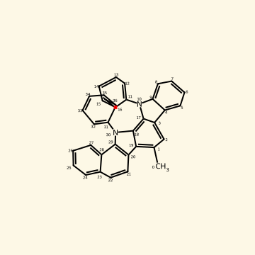 Cc1cc2c3ccccc3n(-c3ccccc3)c2c2c1c1ccc3ccccc3c1n2-c1ccccc1